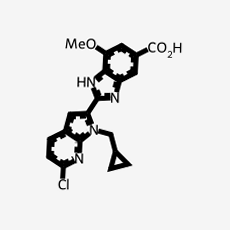 COc1cc(C(=O)O)cc2nc(-c3cc4ccc(Cl)nc4n3CC3CC3)[nH]c12